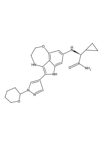 NC(=O)[C@@H](Nc1cc2c3c(c(-c4cnn(C5CCCCO5)c4)[nH]c3c1)NCCO2)C1CC1